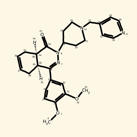 COc1ccc(C2=NN(C3CCN(Cc4ccncc4)CC3)C(=O)[C@@H]3CC=CC[C@H]23)cc1OC